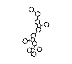 CC1([Si](c2ccccc2)(c2ccccc2)c2ccc3c4cc(-c5ccc6c(c5)c5ccc(-c7cccc(-c8ccccc8)c7)cc5n6-c5ccccc5)ccc4n(-c4ccccc4)c3c2)C=CC=CC1